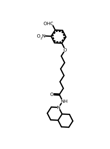 O=Cc1ccc(OCCCCCCC(=O)NN2CCCC3CCCCC32)cc1[N+](=O)[O-]